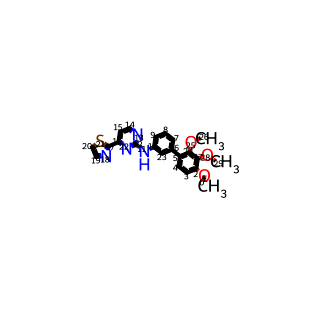 COc1ccc(-c2cccc(Nc3nccc(-c4nccs4)n3)c2)c(OC)c1OC